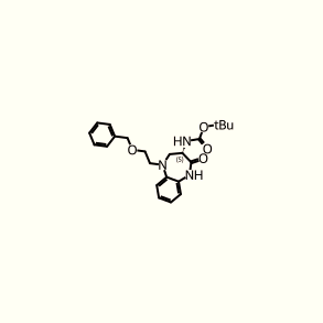 CC(C)(C)OC(=O)N[C@H]1CN(CCOCc2ccccc2)c2ccccc2NC1=O